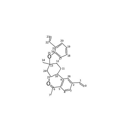 C=Cc1ccc(C(C)=O)c(C2CCC(C)(Oc3ccccc3C=C)CC2)c1